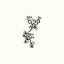 CC(C)(C)OC(=O)CC[C@H](NC(=O)N[C@@H](CCCCNC(=O)[C@H](Cc1ccc(Br)cn1)NC(=O)C1CCC(CN)CC1)C(=O)OC(C)(C)C)C(=O)OC(C)(C)C